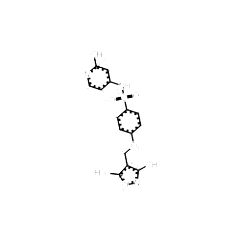 Cc1cc(NS(=O)(=O)c2ccc(OCc3c(C)noc3C)cc2)ccn1